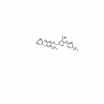 Cn1cc(Cc2cncnc2)c(=O)nc1SCc1ccc(Oc2ccc(C(F)(F)F)cn2)c(C#N)c1